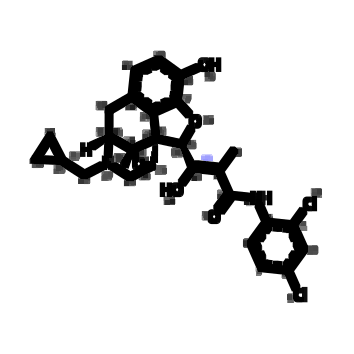 C/C(C(=O)Nc1ccc(Cl)cc1Cl)=C(/O)[C@@H]1Oc2c(O)ccc3c2[C@@]12CCN(CC1CC1)[C@H](C3)[C@@]2(C)O